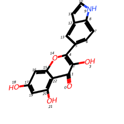 O=c1c(O)c(-c2ccc3[nH]ccc3c2)oc2cc(O)cc(O)c12